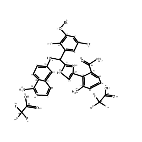 CCOc1cc(CC)cc(C(Nc2ccc3c(N)nccc3c2)c2nc(-c3c(C)cccc3C(N)=O)c[nH]2)c1F.O=C(O)C(F)(F)F.O=C(O)C(F)(F)F